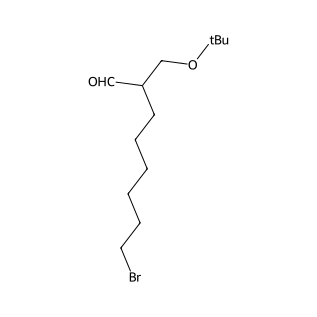 CC(C)(C)OCC(C=O)CCCCCCBr